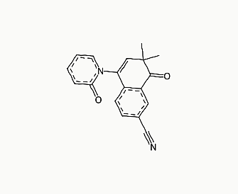 CC1(C)C=C(n2ccccc2=O)c2ccc(C#N)cc2C1=O